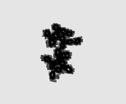 c1ccc(-c2ccc(-n3c4ccccc4c4cc(-c5c6ccccc6cc6c7c(-c8ccc9c(c8)c8ccc(-c%10c%11ccccc%11cc%11c%12ccccc%12n(-c%12ccc%13c%14ccccc%14n(-c%14ccccc%14)c%13c%12)c%10%11)cc8n9-c8ccc(-c9ccccc9)cc8)cccc7n(-c7ccc8c9ccccc9n(-c9ccccc9)c8c7)c56)ccc43)cc2)cc1